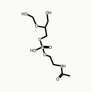 CC(=O)NCCOP(=O)(O)OCC(CO)OCO